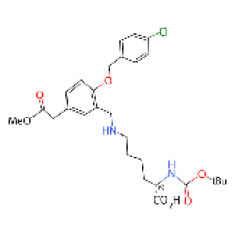 COC(=O)Cc1ccc(OCc2ccc(Cl)cc2)c(CNCCCC[C@H](NC(=O)OC(C)(C)C)C(=O)O)c1